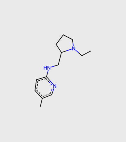 CCN1CCCC1CNc1ccc(C)cn1